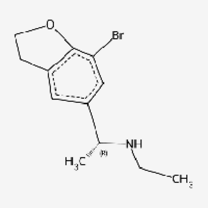 CCN[C@H](C)c1cc(Br)c2c(c1)CCO2